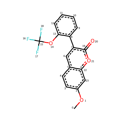 COc1ccc2cc(-c3ccccc3OC(F)(F)F)c(=O)oc2c1